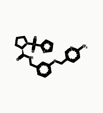 O=C(NCc1cccc(OCc2ccc(C(F)(F)F)nc2)c1)[C@@H]1CCCN1S(=O)(=O)c1ccco1